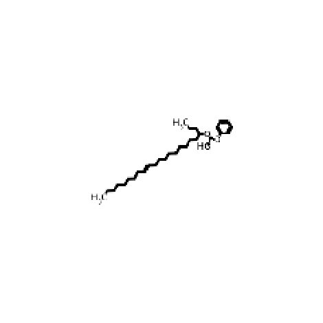 CCCCCCCCC=CCCCCCCCCCC(CCC)OP(O)Oc1ccccc1